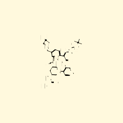 CC(C)(C)OC(=O)Nc1oc2cc(CN3CC(F)(F)C3)cnc2c1C(=O)Nc1cnccc1N1C[C@@H](NC(=O)O)C[C@@H](C(F)(F)F)C1